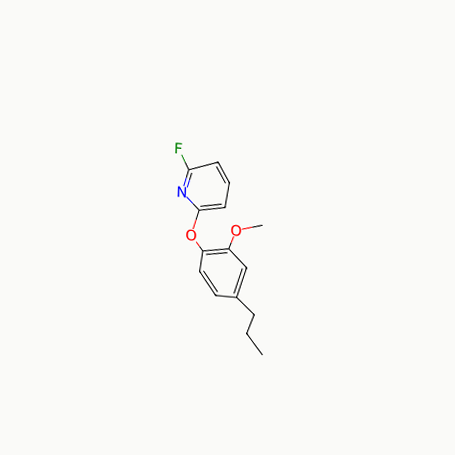 CCCc1ccc(Oc2cccc(F)n2)c(OC)c1